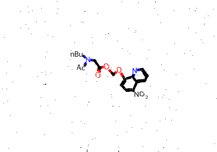 CCCCN(CC(=O)OCOc1ccc([N+](=O)[O-])c2cccnc12)C(C)=O